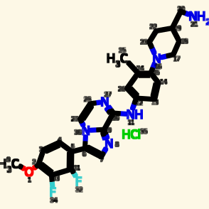 COc1ccc(-c2cnc3c(Nc4ccc(N5CCC(CN)CC5)c(C)c4)nccn23)c(F)c1F.Cl